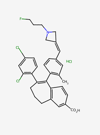 Cc1cc(C=C2CN(CCCF)C2)ccc1C1=C(c2ccc(Cl)cc2Cl)CCCc2cc(C(=O)O)ccc21.Cl